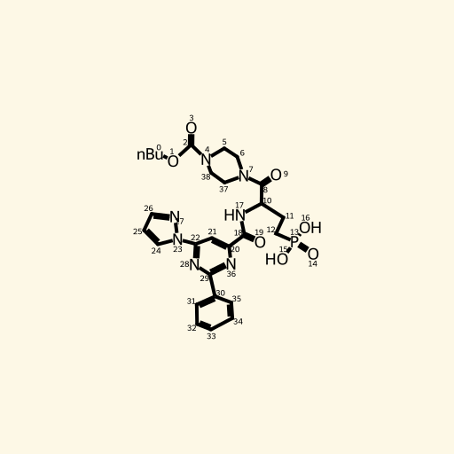 CCCCOC(=O)N1CCN(C(=O)C(CCP(=O)(O)O)NC(=O)c2cc(-n3cccn3)nc(-c3ccccc3)n2)CC1